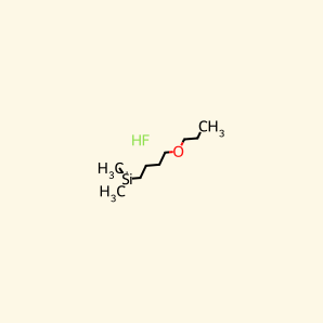 CCCOCCCC[Si](C)C.F